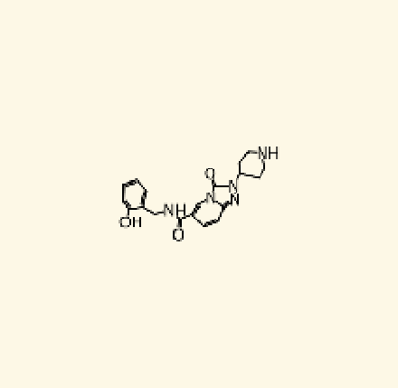 O=C(NCc1ccccc1O)c1ccc2nn(C3CCNCC3)c(=O)n2c1